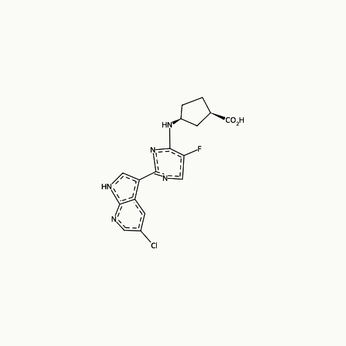 O=C(O)[C@@H]1CC[C@H](Nc2nc(-c3c[nH]c4ncc(Cl)cc34)ncc2F)C1